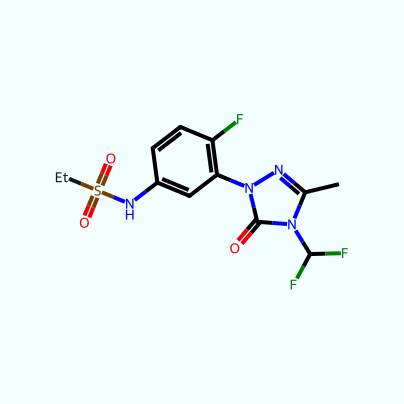 CCS(=O)(=O)Nc1ccc(F)c(-n2nc(C)n(C(F)F)c2=O)c1